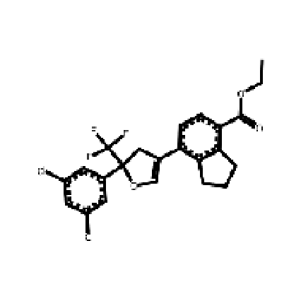 CCOC(=O)c1ccc(C2=COC(c3cc(Cl)cc(Cl)c3)(C(F)(F)F)C2)c2c1CCC2